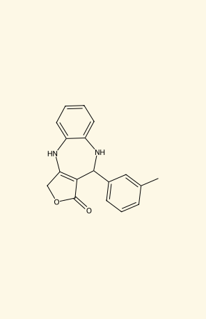 Cc1cccc(C2Nc3ccccc3NC3=C2C(=O)OC3)c1